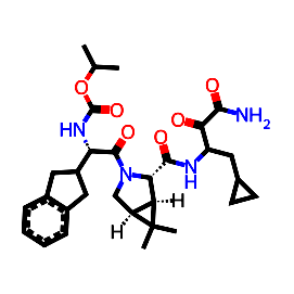 CC(C)OC(=O)N[C@H](C(=O)N1C[C@H]2[C@@H]([C@H]1C(=O)NC(CC1CC1)C(=O)C(N)=O)C2(C)C)C1Cc2ccccc2C1